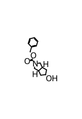 O=C(OCc1ccccc1)N1C[C@H]2C[C@@H](O)C[C@H]2C1